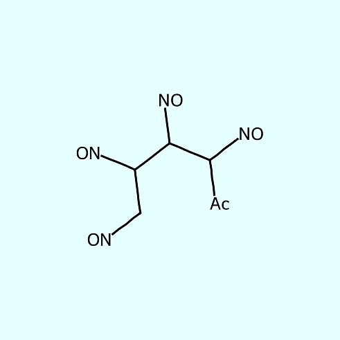 CC(=O)C(N=O)C(N=O)C(CN=O)N=O